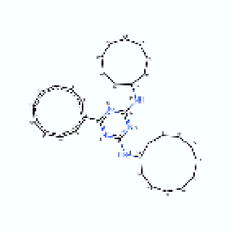 c1ccccc(-c2nc(NC3CCCCCCCCCC3)nc(NC3CCCCCCCC3)n2)cccc1